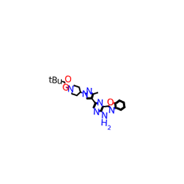 Cc1nn(C2CCN(OC(=O)C(C)(C)C)CC2)cc1-c1cnc(N)c(-c2nc3ccccc3o2)n1